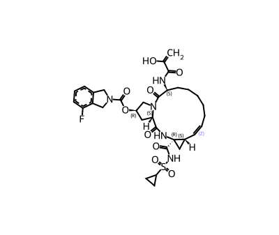 C=C(O)C(=O)N[C@H]1CCCCC/C=C\[C@@H]2C[C@@]2(C(=O)NS(=O)(=O)C2CC2)NC(=O)[C@@H]2C[C@@H](OC(=O)N3Cc4cccc(F)c4C3)CN2C1=O